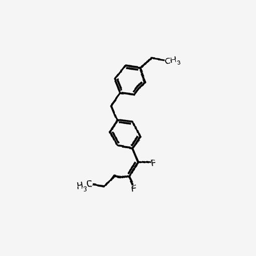 CCC/C(F)=C(/F)c1ccc(Cc2ccc(CC)cc2)cc1